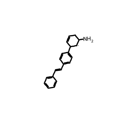 NC1[CH]C(c2ccc(C=Cc3ccccc3)cc2)C=CC1